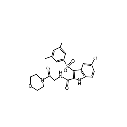 Cc1cc(C)cc(S(=O)(=O)c2c(C(=O)NCC(=O)N3CCOCC3)[nH]c3ccc(Cl)cc23)c1